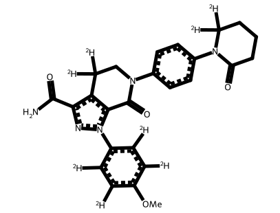 [2H]c1c([2H])c(-n2nc(C(N)=O)c3c2C(=O)N(c2ccc(N4C(=O)CCCC4([2H])[2H])cc2)CC3([2H])[2H])c([2H])c([2H])c1OC